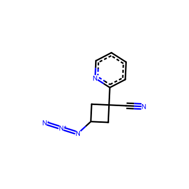 N#CC1(c2ccccn2)CC(N=[N+]=[N-])C1